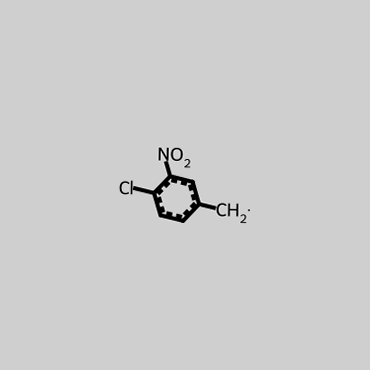 [CH2]c1ccc(Cl)c([N+](=O)[O-])c1